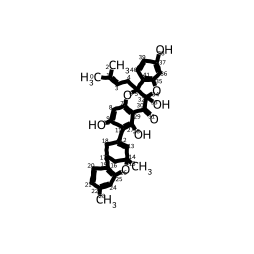 CC(C)=CCC12Oc3cc(O)c(C4=CC5(C)CC(C4)c4ccc(C)cc4O5)c(O)c3C(=O)C1(O)Oc1cc(O)ccc12